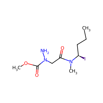 CCC[C@@H](I)N(C)C(=O)CN(N)C(=O)OC